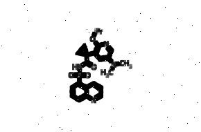 CC(C)Oc1ncc(N(C)C)cc1C1(C(=O)NS(=O)(=O)c2cccc3ncccc23)CC1